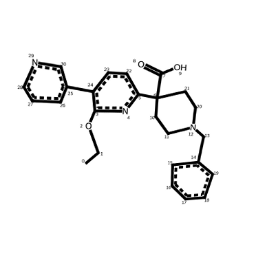 CCOc1nc(C2(C(=O)O)CCN(Cc3ccccc3)CC2)ccc1-c1cccnc1